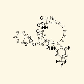 O=C1N[C@]2(C(=O)O)C[C@H]2/C=C\CCCCC[C@H](Nc2cc(F)cc(C(F)(F)F)c2)C(=O)N2C[C@H](OC3=NC4C=CC=CC4S3)C[C@@H]12